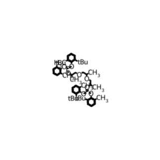 Cc1cccc(C(C)(C)C)c1OP(Oc1c(C)cccc1C(C)(C)C)OC(C)COCC(C)OCC(C)OP(Oc1c(C)cccc1C(C)(C)C)Oc1c(C)cccc1C(C)(C)C